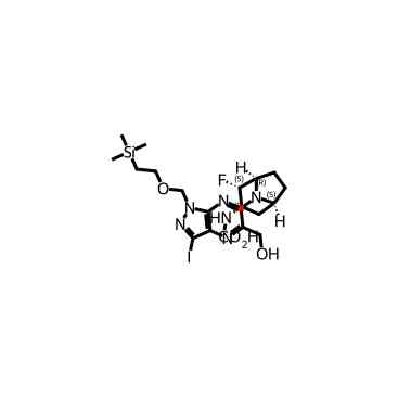 C[Si](C)(C)CCOCn1nc(I)c2nc(CO)c(N3[C@H]4CC[C@@H]3[C@@H](F)[C@@H](NC(=O)O)C4)nc21